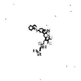 CCN(CC)CCNC(=O)CCc1c(/C=C2\C(=O)Nc3ccc(SN4CCc5ccccc54)cc32)[nH]c(C)c1C(C)=O